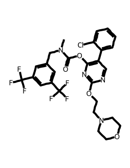 CN(Cc1cc(C(F)(F)F)cc(C(F)(F)F)c1)C(=O)Oc1nc(OCCN2CCOCC2)ncc1-c1ccccc1Cl